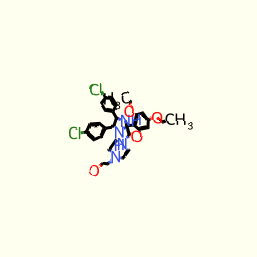 CCOc1ccc(C2(C(=O)N3CCN(CC=O)CC3)NC(c3ccc(Cl)cc3)C(c3ccc(Cl)cc3)N2)c(OCC)c1